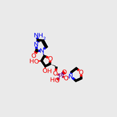 Nc1ccn([C@@H]2O[C@H](COP(=O)(O)ON3CCOCC3)[C@@H](O)[C@H]2O)c(=O)n1